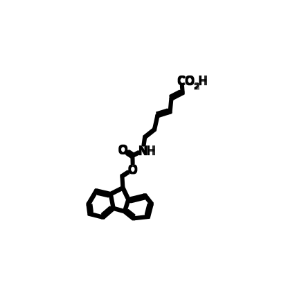 O=C(O)/C=C/C=C/CCNC(=O)OCC1c2ccccc2-c2ccccc21